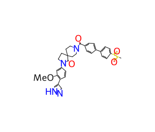 COc1cc(N2CCC3(CCN(C(=O)c4ccc(-c5ccc(S(C)(=O)=O)cc5)cc4)CC3)C2=O)ccc1-c1cn[nH]c1